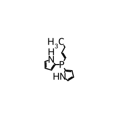 CCC=CP(c1ccc[nH]1)c1ccc[nH]1